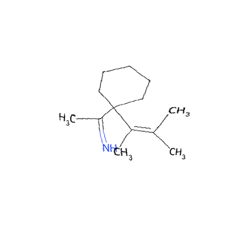 CC(=N)C1(C(C)=C(C)C)CCCCC1